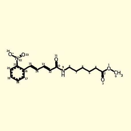 COC(=O)CCCCCNC(=O)C=CC=Cc1ccccc1[N+](=O)[O-]